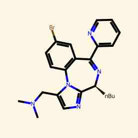 CCCC[C@@H]1N=C(c2ccccn2)c2cc(Br)ccc2-n2c(CN(C)C)cnc21